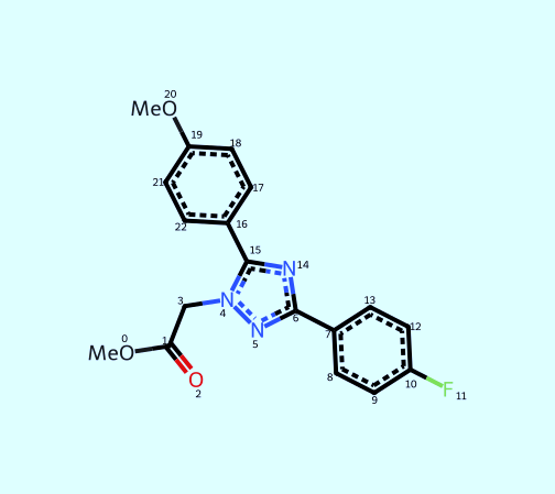 COC(=O)Cn1nc(-c2ccc(F)cc2)nc1-c1ccc(OC)cc1